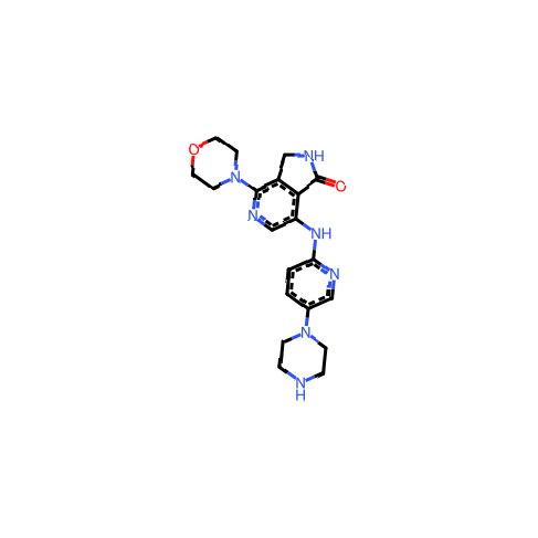 O=C1NCc2c(N3CCOCC3)ncc(Nc3ccc(N4CCNCC4)cn3)c21